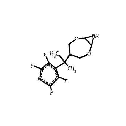 CC(C)(c1c(F)c(F)nc(F)c1F)C1COC2NC2OC1